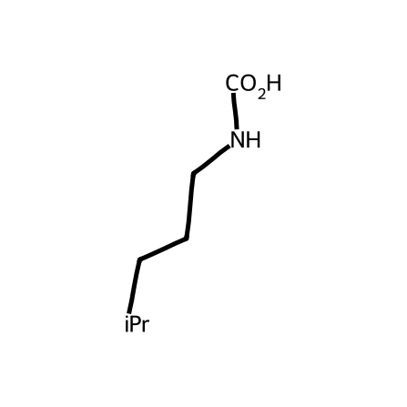 CC(C)CCCNC(=O)O